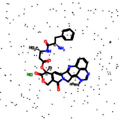 CCCCCN1C=Nc2cccc3nc4c(c1c23)Cn1c-4cc2c(c1=O)COC(=O)[C@@]2(CC)OC(=O)C[C@@H](NC(=O)[C@@H](N)Cc1ccccc1)C(=O)O.Cl